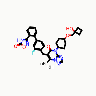 CCCc1c(Cc2ccc(-c3ccccc3-c3noc(=O)[nH]3)cc2F)c(=O)n(C2CCC(OCC3(O)CCC3)CC2)c2ncnn12.[KH]